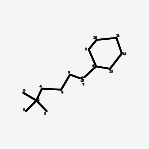 CC(C)(C)CCCSC1CCCCC1